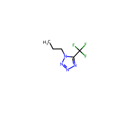 CCCn1nnnc1C(F)(F)F